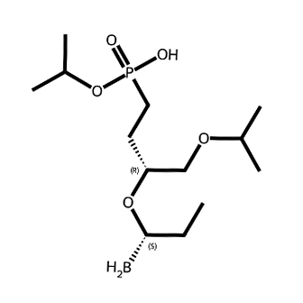 B[C@@H](CC)O[C@H](CCP(=O)(O)OC(C)C)COC(C)C